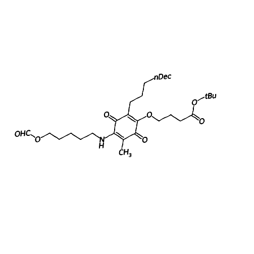 CCCCCCCCCCCCCC1=C(OCCCC(=O)OC(C)(C)C)C(=O)C(C)=C(NCCCCCOC=O)C1=O